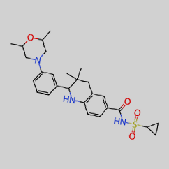 CC1CN(c2cccc(C3Nc4ccc(C(=O)NS(=O)(=O)C5CC5)cc4CC3(C)C)c2)CC(C)O1